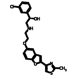 Cc1nc(-c2cc3cc(OCCNC[C@H](O)c4cccc(Cl)c4)ccc3o2)cs1